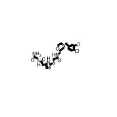 NC(=O)CNC(=O)CC1=CSC(SCC(=O)NC[C@H]2CN(Cc3ccc(Cl)c(Cl)c3)CCO2)N1